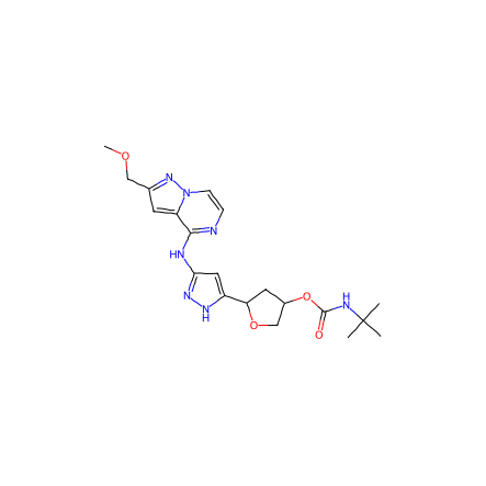 COCc1cc2c(Nc3cc(C4CC(OC(=O)NC(C)(C)C)CO4)[nH]n3)nccn2n1